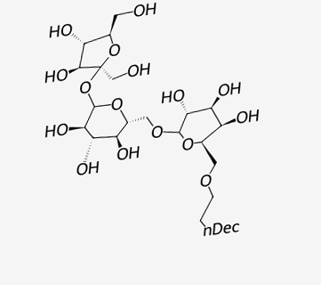 CCCCCCCCCCCCOC[C@H]1OC(OC[C@H]2OC(O[C@]3(CO)O[C@H](CO)[C@@H](O)[C@@H]3O)[C@H](O)[C@@H](O)[C@@H]2O)[C@H](O)[C@@H](O)[C@H]1O